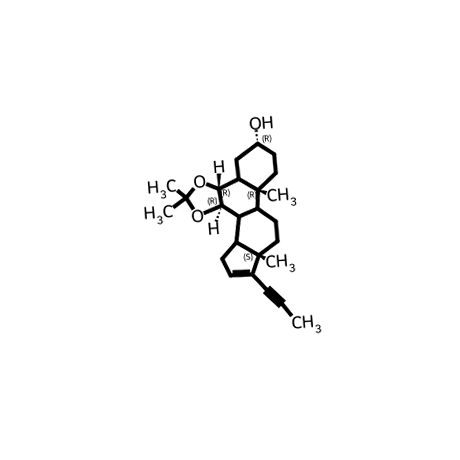 CC#CC1=CCC2C3C(CC[C@]12C)[C@@]1(C)CC[C@@H](O)CC1[C@H]1OC(C)(C)O[C@H]31